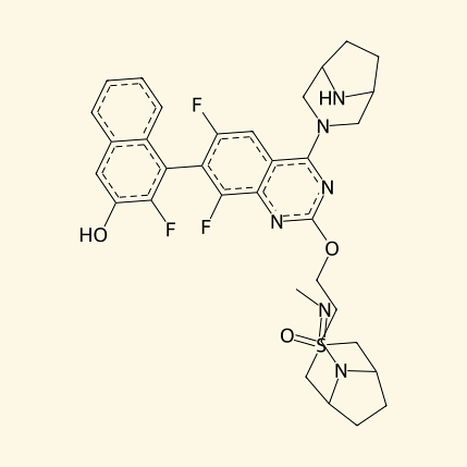 CN=S1(=O)CC2CCC(C1)N2CCCOc1nc(N2CC3CCC(C2)N3)c2cc(F)c(-c3c(F)c(O)cc4ccccc34)c(F)c2n1